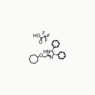 O=C(O)C(F)(F)F.c1ccc([C@H]2N=C(COC3CCCCCC3)N[C@H]2c2ccccc2)cc1